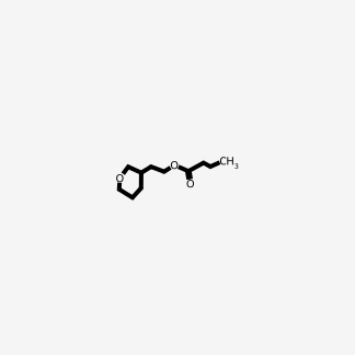 CCCC(=O)OCCC1CCCOC1